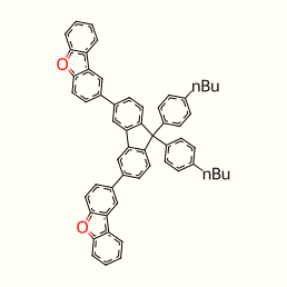 CCCCc1ccc(C2(c3ccc(CCCC)cc3)c3ccc(-c4ccc5oc6ccccc6c5c4)cc3-c3cc(-c4ccc5oc6ccccc6c5c4)ccc32)cc1